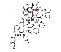 CCSSc1cccc(C)c1OC(=O)C[C@H](NC(=O)C(Cc1ccccc1)NC(=O)[C@H](C(C)C)N(C)C(=O)[C@H](CC(C)C)N(C)C(=O)CNC(=O)[C@H](Cc1ccccc1)N(C)C(=O)[C@@H](NC(=O)C(CC(C)C)N(C)C(=O)[C@@H](NC(=O)[C@H](C)NC(=O)OC(C)(C)C)C(C)C)[C@@H](C)OC(c1ccccc1)(c1ccccc1)c1ccccc1)C(=O)N(C)C(Cc1ccccc1)C(=O)N[C@@H](C)C(=O)N1CCCCC1